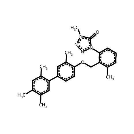 Cc1cc(C)c(-c2ccc(OCc3c(C)cccc3-n3nnn(C)c3=O)c(C)c2)cc1C